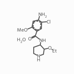 CCOC1CNCCC1NC(=O)c1cc(Cl)c(N)cc1OC.O